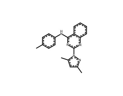 Cc1ccc(Nc2nc(-n3nc(C)cc3C)nc3ccccc23)cc1